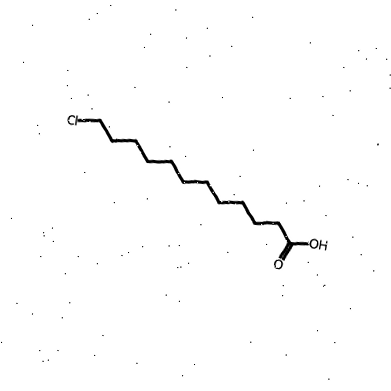 O=C(O)CCCCCCCCCCCCl